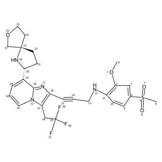 COc1cc(S(C)(=O)=O)ccc1NCC#Cc1nc2c([C@H]3CC[C@@]4(CCOC4)N3)cccn2c1CC(F)(F)F